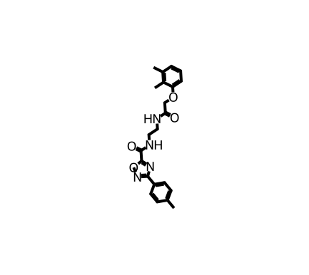 Cc1ccc(-c2noc(C(=O)NCCNC(=O)COc3cccc(C)c3C)n2)cc1